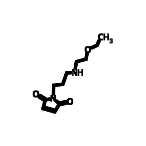 CCOCCNCCCN1C(=O)C=CC1=O